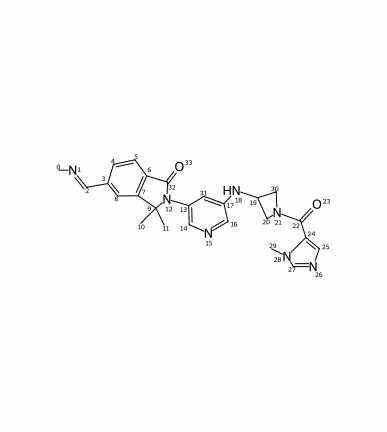 C/N=C/c1ccc2c(c1)C(C)(C)N(c1cncc(NC3CN(C(=O)c4cncn4C)C3)c1)C2=O